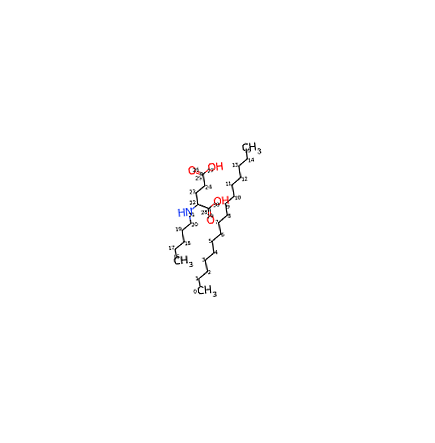 CCCCCCCCCCCCCCCC.CCCCCNC(CCC(=O)O)C(=O)O